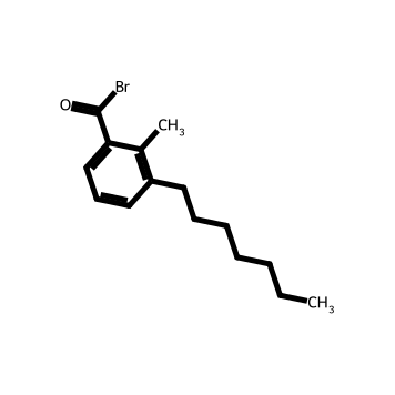 CCCCCCCc1cccc(C(=O)Br)c1C